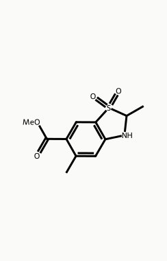 COC(=O)c1cc2c(cc1C)NC(C)S2(=O)=O